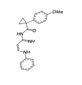 COc1ccc(C2(C(=O)NC(=N)/C=C\Nc3ccccc3)CC2)cc1